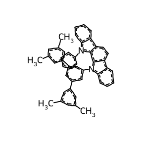 Cc1cc(C)cc(-c2cc(-c3cc(C)cc(C)c3)cc(-n3c4ccccc4c4ccc5c6ccccc6n(-c6ccccc6)c5c43)c2)c1